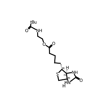 CC(C)(C)C(=O)NCCOC(=O)CCCC[C@H]1SC[C@@H]2NC(=O)N[C@@H]21